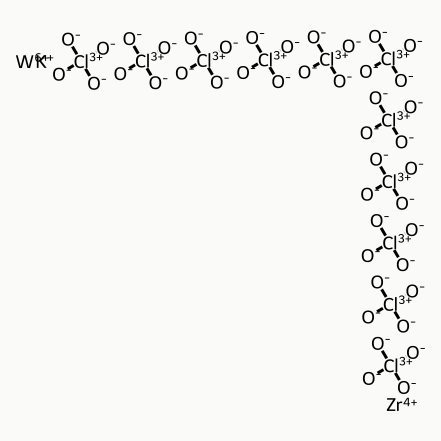 [K+].[O-][Cl+3]([O-])([O-])[O-].[O-][Cl+3]([O-])([O-])[O-].[O-][Cl+3]([O-])([O-])[O-].[O-][Cl+3]([O-])([O-])[O-].[O-][Cl+3]([O-])([O-])[O-].[O-][Cl+3]([O-])([O-])[O-].[O-][Cl+3]([O-])([O-])[O-].[O-][Cl+3]([O-])([O-])[O-].[O-][Cl+3]([O-])([O-])[O-].[O-][Cl+3]([O-])([O-])[O-].[O-][Cl+3]([O-])([O-])[O-].[W+6].[Zr+4]